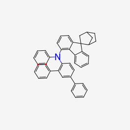 c1ccc(-c2ccc(N(c3ccccc3)c3cccc4c3-c3ccccc3C43CC4CCC3C4)c(-c3ccccc3)c2)cc1